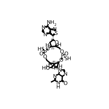 CC1=NC2C(N=CN2[C@@H]2O[C@@H]3COP(=O)(S)O[C@H]4C[C@H](c5snc6c(N)ncnc56)O[C@@H]4COP(=O)(S)O[C@@H]2[C@@H]3CO)C(=O)N1